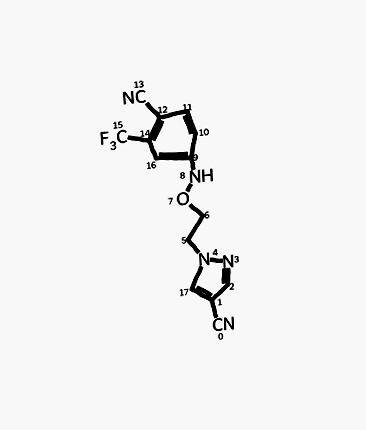 N#Cc1cnn(CCONc2ccc(C#N)c(C(F)(F)F)c2)c1